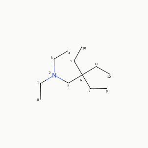 CCN(CC)CC(CC)(CC)CC